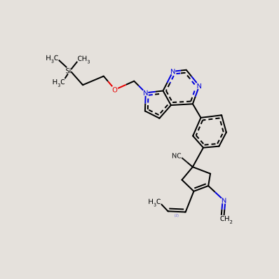 C=NC1=C(/C=C\C)CC(C#N)(c2cccc(-c3ncnc4c3ccn4COCC[Si](C)(C)C)c2)C1